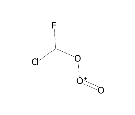 O=[O+]OC(F)Cl